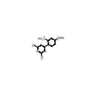 COc1ccc(-c2cc(Cl)nc(Cl)c2)c(C(=O)O)c1